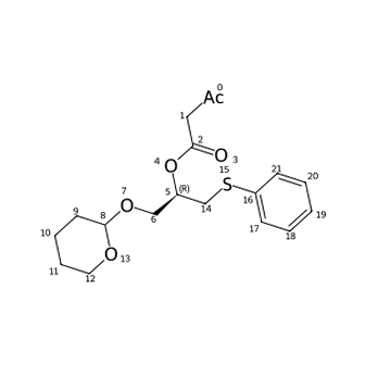 CC(=O)CC(=O)O[C@H](COC1CCCCO1)CSc1ccccc1